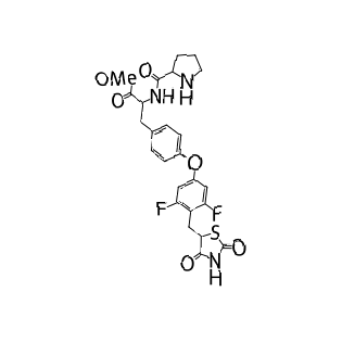 COC(=O)C(Cc1ccc(Oc2cc(F)c(CC3SC(=O)NC3=O)c(F)c2)cc1)NC(=O)C1CCCN1